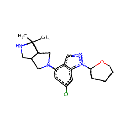 CC1(C)NCC2CN(c3cc(Cl)cc4c3cnn4C3CCCCO3)CC21